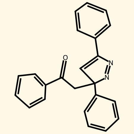 O=C(CC1(c2ccccc2)C=C(c2ccccc2)N=N1)c1ccccc1